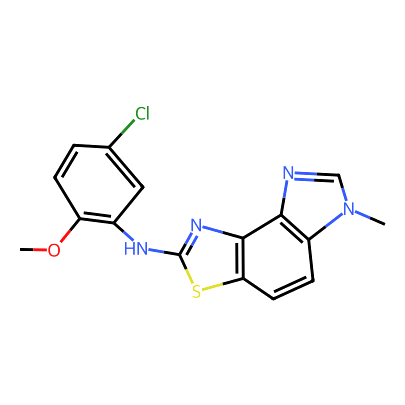 COc1ccc(Cl)cc1Nc1nc2c(ccc3c2ncn3C)s1